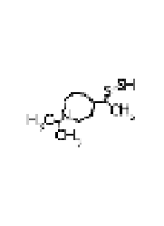 CC(SS)C1CCCN(C(C)C)CC1